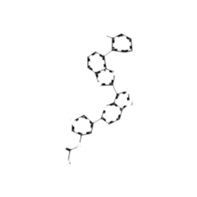 CCCC(=O)Nc1cncc(-c2ccc3[nH]nc(-c4nc5c(-c6ccccc6F)cccc5[nH]4)c3n2)c1